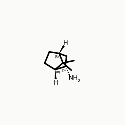 CC1(C)[C@@H]2CC[C@H]1[C@@H](N)C2